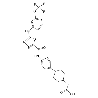 O=C(O)CC1CCC(c2ccc(NC(=O)c3nnc(Nc4cccc(OC(F)(F)F)c4)o3)cc2)CC1